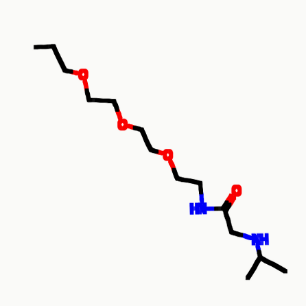 CCCOCCOCCOCCNC(=O)CNC(C)C